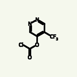 O=C(Cl)Oc1cnncc1C(F)(F)F